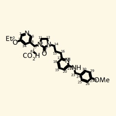 CCOc1cncc([C@@H](CC(=O)O)N2CCN(CCCc3cccc(NCc4ccc(OC)cc4)n3)C2=O)c1